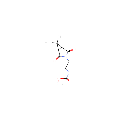 CC(C)(C)OC(=O)NCCN1C(=O)C2C(C1=O)C2(C)C